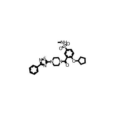 CNS(=O)(=O)c1ccc(OC2CCCC2)c(C(=O)N2CCN(c3nc(-c4ccccc4)ns3)CC2)c1